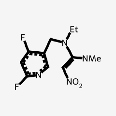 CCN(Cc1cnc(F)cc1F)C(=C[N+](=O)[O-])NC